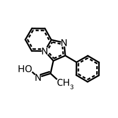 C/C(=N/O)c1c(-c2ccccc2)nc2ccccn12